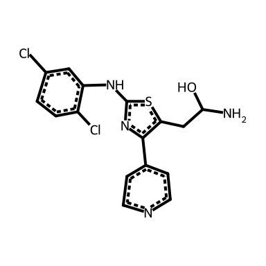 NC(O)Cc1sc(Nc2cc(Cl)ccc2Cl)nc1-c1ccncc1